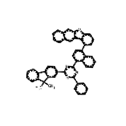 CC1(C)c2ccccc2-c2ccc(-c3nc(-c4ccccc4)nc(-c4ccc(-c5cccc6oc7cc8ccccc8cc7c56)c5ccccc45)n3)cc21